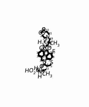 CC(C)(C[C@H]1CSc2cc(F)c(-c3nnc(C(C)(C)CN4CCS(=O)(=O)CC4)o3)cc2N(Cc2ccc(Cl)cc2)C1=O)NC(=O)O